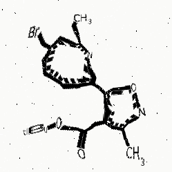 Cc1nc(-c2onc(C)c2C(=O)OC(C)(C)C)ccc1Br